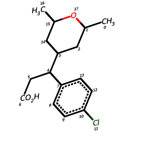 CC1CC(C(CC(=O)O)c2ccc(Cl)cc2)CC(C)O1